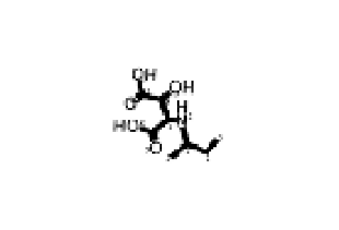 CCC(C)NC(C(=O)O)C(O)C(=O)O